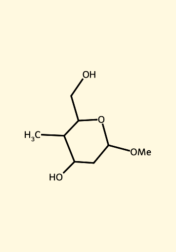 COC1CC(O)C(C)C(CO)O1